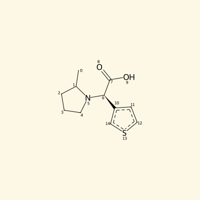 CC1CCCN1[C@@H](C(=O)O)c1ccsc1